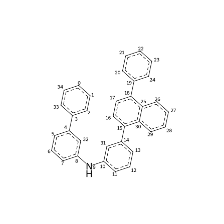 c1ccc(-c2cccc(Nc3cccc(-c4ccc(-c5ccccc5)c5ccccc45)c3)c2)cc1